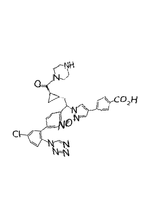 O=C(O)c1ccc(-c2cnn(C(C[C@@H]3C[C@H]3C(=O)N3CCNCC3)c3ccc(-c4cc(Cl)ccc4-n4cnnn4)c[n+]3[O-])c2)cc1